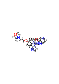 COc1c(OCCCN2CCOCC2C)ccc2c1N=C(NC(=O)c1cccnc1)N1CCN=C21